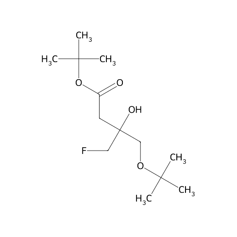 CC(C)(C)OCC(O)(CF)CC(=O)OC(C)(C)C